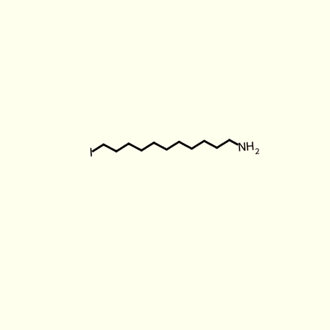 NCCCCCCCCCCCI